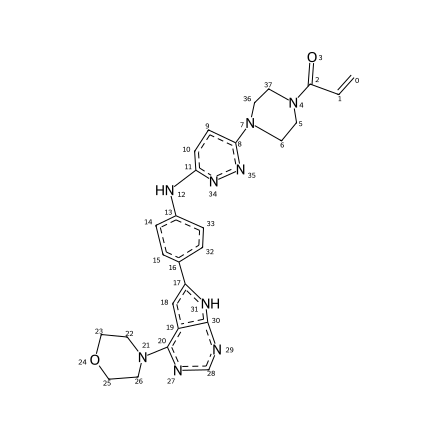 C=CC(=O)N1CCN(c2ccc(Nc3ccc(-c4cc5c(N6CCOCC6)ncnc5[nH]4)cc3)nn2)CC1